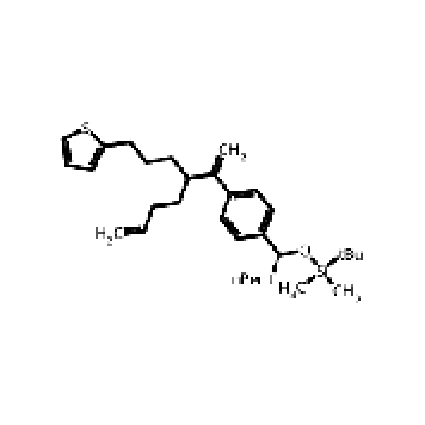 C=CCCC(CCCc1cccs1)C(=C)c1ccc([C@H](CCCCC)O[Si](C)(C)C(C)(C)C)cc1